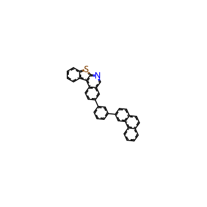 c1cc(-c2ccc3c(cnc4sc5ccccc5c43)c2)cc(-c2ccc3ccc4ccccc4c3c2)c1